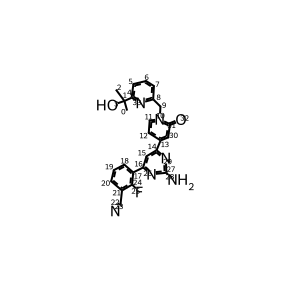 CC(C)(O)c1cccc(Cn2ccc(-c3cc(-c4cccc(C#N)c4F)nc(N)n3)cc2=O)n1